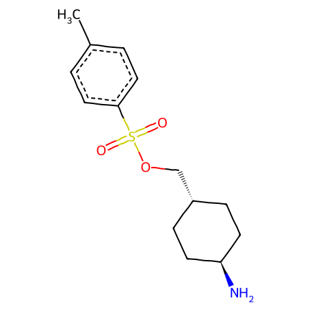 Cc1ccc(S(=O)(=O)OC[C@H]2CC[C@H](N)CC2)cc1